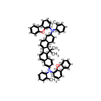 Cc1ccccc1N(c1ccc2c3c(ccc2c1)-c1ccc2cc(N(c4ccccc4C)c4cccc5c4oc4ccccc45)ccc2c1C3(C)C)c1cccc2c1oc1ccccc12